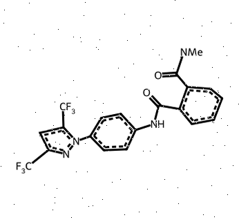 CNC(=O)c1ccccc1C(=O)Nc1ccc(-n2nc(C(F)(F)F)cc2C(F)(F)F)cc1